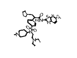 CCN(CC)CCN(C1CCN(C)CC1)S(=O)(=O)c1ccc(C(CC2CCCC2)C(=O)Nc2nc3ccc(OC)nc3s2)cc1